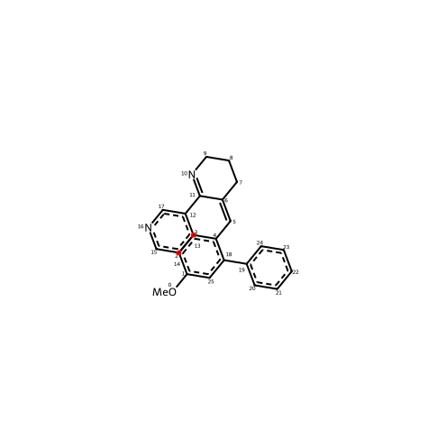 COc1ccc(/C=C2/CCCN=C2c2cccnc2)c(-c2ccccc2)c1